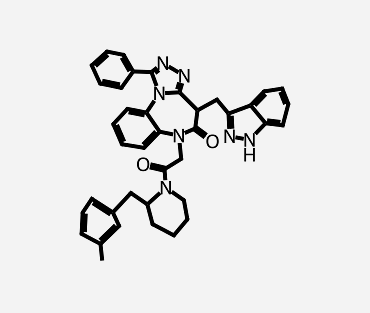 Cc1cccc(CC2CCCCN2C(=O)CN2C(=O)C(Cc3n[nH]c4ccccc34)c3nnc(-c4ccccc4)n3-c3ccccc32)c1